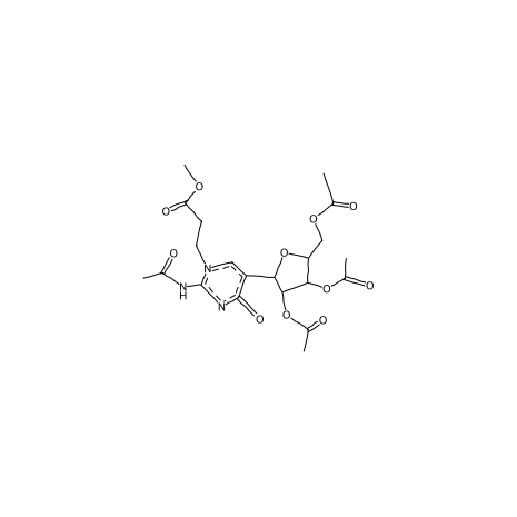 COC(=O)CCn1cc(C2OC(COC(C)=O)C(OC(C)=O)C2OC(C)=O)c(=O)nc1NC(C)=O